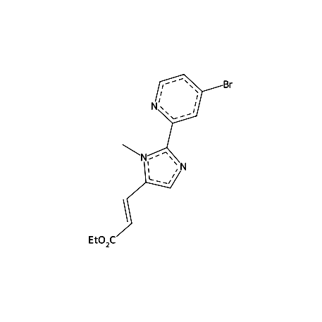 CCOC(=O)/C=C/c1cnc(-c2cc(Br)ccn2)n1C